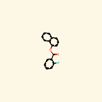 O=C(Oc1cccc2ccccc12)c1ccccc1F